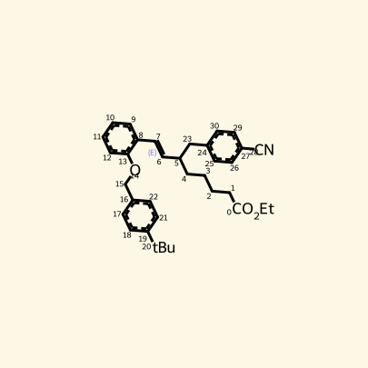 CCOC(=O)CCCCC(/C=C/c1ccccc1OCc1ccc(C(C)(C)C)cc1)Cc1ccc(C#N)cc1